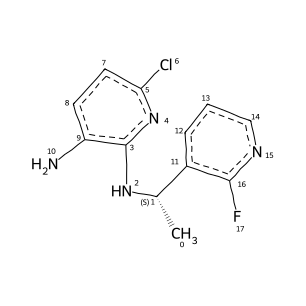 C[C@H](Nc1nc(Cl)ccc1N)c1cccnc1F